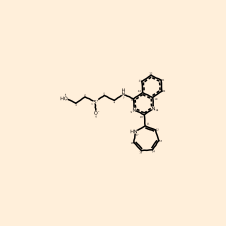 [O-][S+](CCO)CCNc1nc(C2=CC=CC=CN2)nc2ccccc12